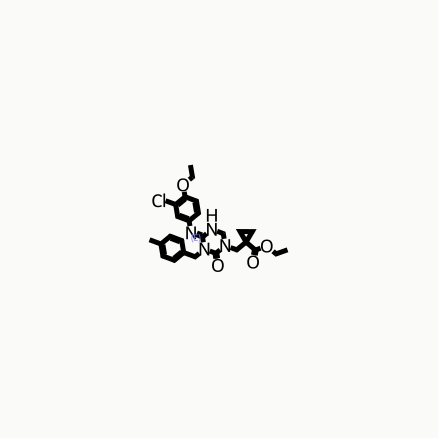 CCOC(=O)C1(CN2CN/C(=N\c3ccc(OCC)c(Cl)c3)N(Cc3ccc(C)cc3)C2=O)CC1